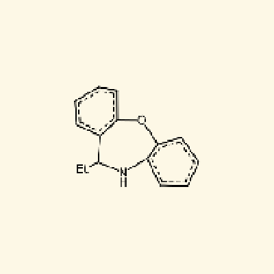 CCC1Nc2ccccc2Oc2ccccc21